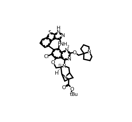 CC(C)(C)OC(=O)C12CC3CN4c5nc(OCC67CCCN6CCC7)nc6c(F)c(-c7cccc8sc9[nH]nc(N)c9c78)c(Cl)c(c56)OC[C@@H]4C(C1)N32